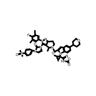 Cc1cc(-n2nc3c(c2-n2ccn(-c4ccc(P(C)(C)=O)cc4)c2=O)C(C)N(C(=O)c2cc4cc(C5CCOCC5)ccc4n2C2(c4noc(=O)[nH]4)CC2C)CC3)cc(C)c1F